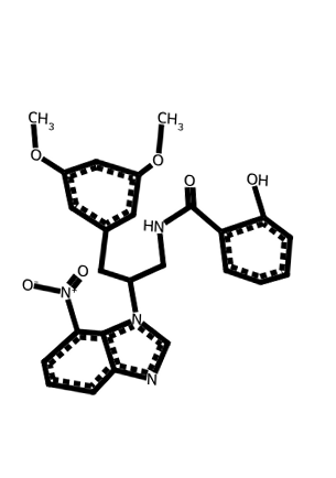 COc1cc(CC(CNC(=O)c2ccccc2O)n2cnc3cccc([N+](=O)[O-])c32)cc(OC)c1